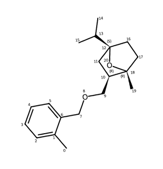 Cc1ccccc1COC[C@H]1C[C@]2(C(C)C)CC[C@@]1(C)O2